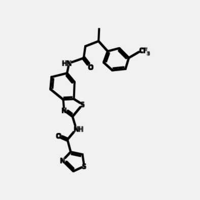 CC(CC(=O)Nc1ccc2nc(NC(=O)c3cscn3)sc2c1)c1cccc(C(F)(F)F)c1